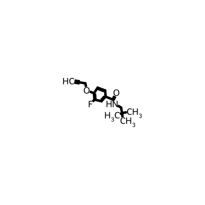 C#CCOc1ccc(C(=O)NCC(C)(C)C)cc1F